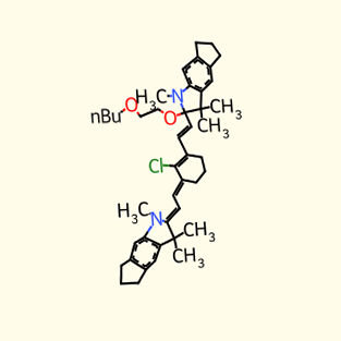 CCCCOCCOC1(/C=C/C2=C(Cl)C(=C/C=C3\N(C)c4cc5c(cc4C3(C)C)CCC5)/CCC2)N(C)c2cc3c(cc2C1(C)C)CCC3